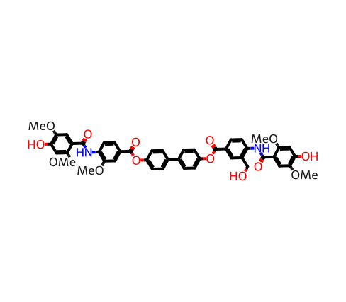 COc1cc(C(=O)Nc2ccc(C(=O)Oc3ccc(-c4ccc(OC(=O)c5ccc(NC(=O)c6cc(OC)c(O)cc6OC)c(OC)c5)cc4)cc3)cc2CO)c(OC)cc1O